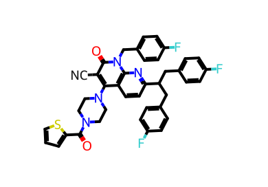 N#Cc1c(N2CCN(C(=O)c3cccs3)CC2)c2ccc(C(Cc3ccc(F)cc3)Cc3ccc(F)cc3)nc2n(Cc2ccc(F)cc2)c1=O